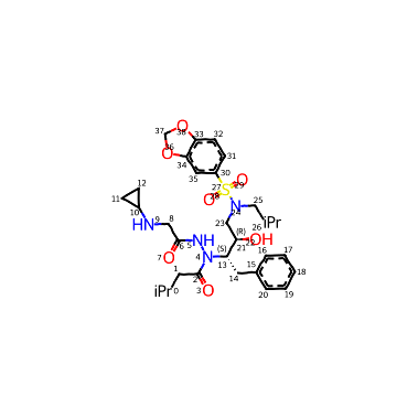 CC(C)CC(=O)N(NC(=O)CNC1CC1)[C@@H](Cc1ccccc1)[C@H](O)CN(CC(C)C)S(=O)(=O)c1ccc2c(c1)OCO2